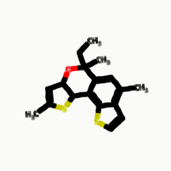 CCC1(C)OC2C=C(C)SC2c2c1cc(C)c1ccsc21